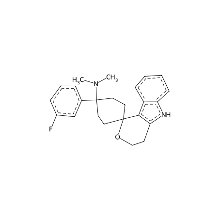 CN(C)C1(c2cccc(F)c2)CCC2(CC1)OCCc1[nH]c3ccccc3c12